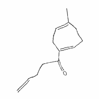 C=CCCC(=O)C1=CCCC(C)=CC1